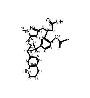 CC(C)Oc1ccc(C(C)(C)C)cc1C(CC(=O)O)Cc1cc(OCCc2ccc3c(n2)NCCC3)n(C)n1